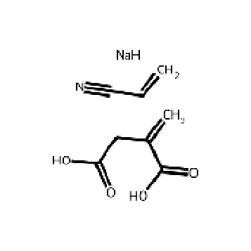 C=C(CC(=O)O)C(=O)O.C=CC#N.[NaH]